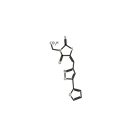 O=C(O)CN1C(=O)/C(=C\c2cc(-c3ccco3)on2)SC1=S